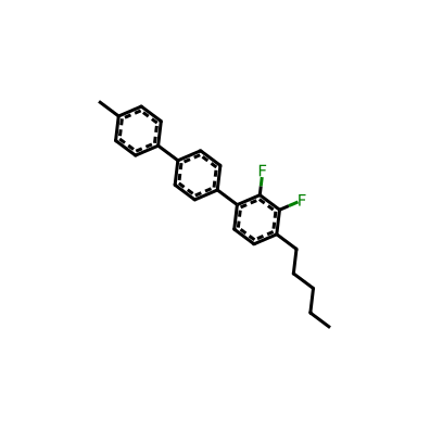 CCCCCc1ccc(-c2ccc(-c3ccc(C)cc3)cc2)c(F)c1F